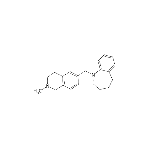 CN1CCc2cc(CN3CCCCc4ccccc43)ccc2C1